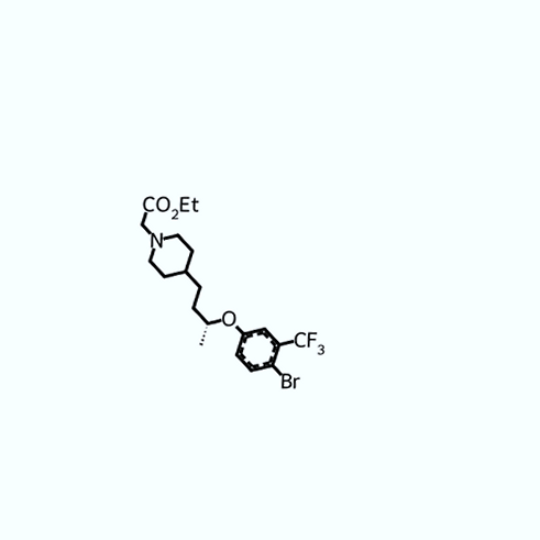 CCOC(=O)CN1CCC(CC[C@@H](C)Oc2ccc(Br)c(C(F)(F)F)c2)CC1